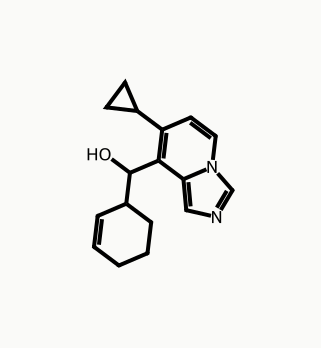 OC(c1c(C2CC2)ccn2cncc12)C1C=CCCC1